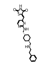 O=C1NC(=O)/C(=C/c2ccnc(NC[C@H]3CC[C@H](CNCCc4ccccc4)CC3)n2)S1